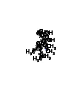 C/C=C/C(C)(C)C[C@H]1[C@H](C(=O)O)[C@@H](c2cc(CO)c3c(c2)OCO3)CN1CC(=O)N(CCCC)CCCCN(C)C